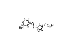 O=C(O)c1cc(COc2cccc(Br)c2)on1